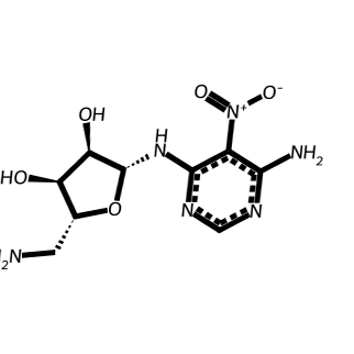 NC[C@H]1O[C@@H](Nc2ncnc(N)c2[N+](=O)[O-])[C@H](O)[C@@H]1O